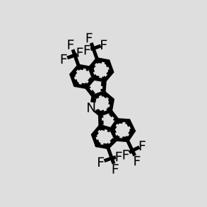 FC(F)(F)c1ccc2c3cc4c5ccc(C(F)(F)F)c6c(C(F)(F)F)ccc(c4nc3c3ccc(C(F)(F)F)c1c23)c65